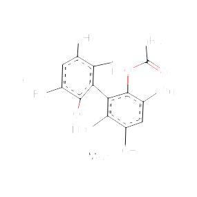 CCCCC(=O)Oc1c(C(C)(C)C)cc(C)c(C)c1-c1c(C)c(C)cc(C(C)(C)C)c1[O-].[Cl-].[Mg+2]